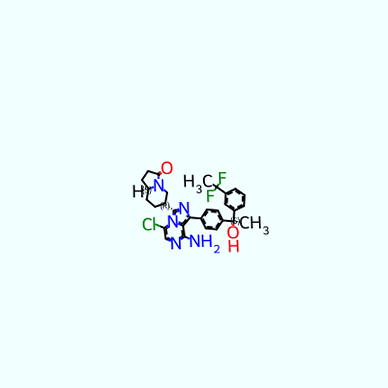 CC(F)(F)c1cccc([C@@](C)(O)c2ccc(-c3nc([C@@H]4CC[C@H]5CCC(=O)N5C4)n4c(Cl)cnc(N)c34)cc2)c1